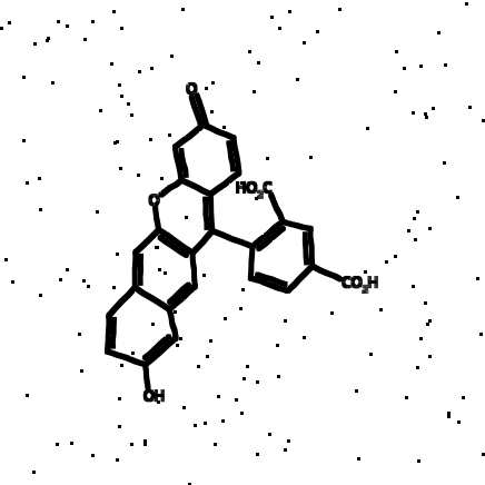 O=C(O)c1ccc(-c2c3ccc(=O)cc-3oc3cc4ccc(O)cc4cc23)c(C(=O)O)c1